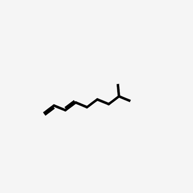 C=CC=CCCCC(C)C